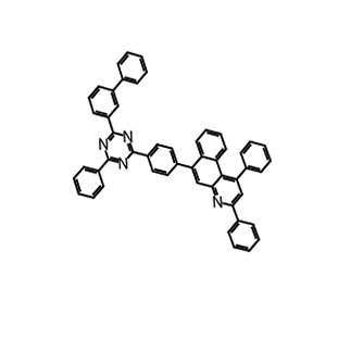 c1ccc(-c2cccc(-c3nc(-c4ccccc4)nc(-c4ccc(-c5cc6nc(-c7ccccc7)cc(-c7ccccc7)c6c6ccccc56)cc4)n3)c2)cc1